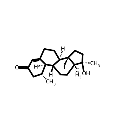 C[C@@H]1CC(=O)C=C2CC[C@@H]3[C@H](CC[C@@]4(C)[C@H]3CC[C@@]4(C)O)[C@H]21